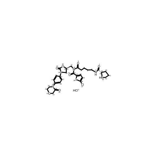 Cl.O=C(NCCCCC(=O)N(C[C@H]1CN(c2ccc(N3CCOCC3=O)cc2)C(=O)O1)C(=O)c1ccc(Cl)s1)[C@@H]1CCCN1